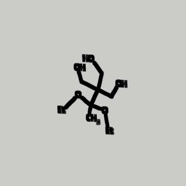 CCOC(C)(OCC)C(CO)(CO)CO